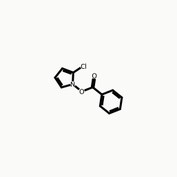 O=C(On1cccc1Cl)c1ccccc1